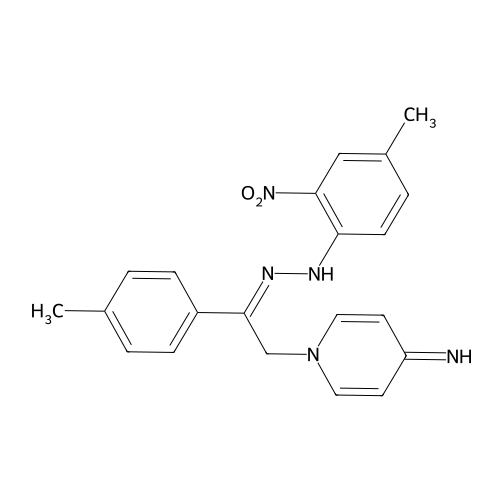 Cc1ccc(/C(Cn2ccc(=N)cc2)=N/Nc2ccc(C)cc2[N+](=O)[O-])cc1